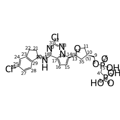 O=P(O)(O)CP(=O)(O)OC[C@@H]1CO[C@H](c2ccc3c(N[C@H]4CCc5cc(Cl)ccc54)nc(Cl)nn23)C1